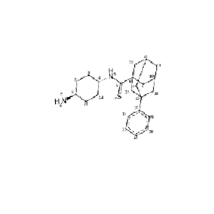 N[C@H]1CC[C@H](NC(=S)C23CC4CC(C2)CC(c2ccccc2)(C4)C3)CC1